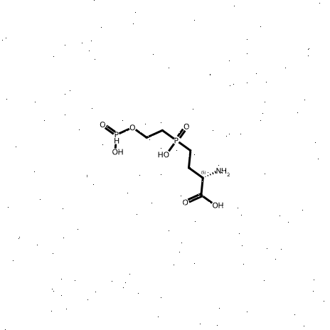 N[C@@H](CCP(=O)(O)CCO[PH](=O)O)C(=O)O